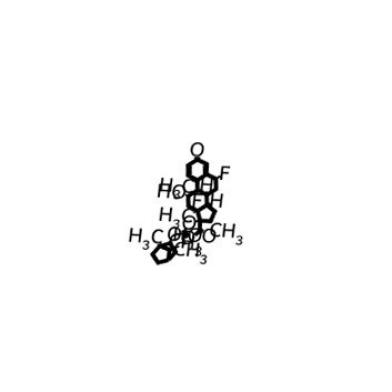 C[C@@H]1C[C@H]2[C@@H]3C[C@H](F)C4=CC(=O)C=C[C@]4(C)[C@@]3(F)[C@@H](O)C[C@]2(C)[C@@]1(OC(=O)OC1CC2CCC1(C)C2(C)C)C(=O)O